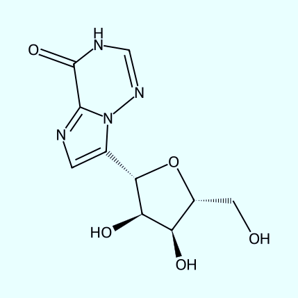 O=c1[nH]cnn2c([C@@H]3O[C@H](CO)[C@@H](O)[C@H]3O)cnc12